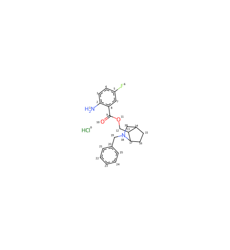 Cl.Nc1ccc(F)cc1C(=O)OCC1C2CCC1N(Cc1ccccc1)C2